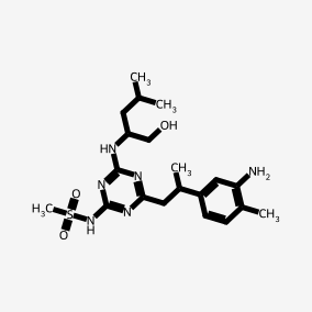 Cc1ccc(C(C)Cc2nc(NC(CO)CC(C)C)nc(NS(C)(=O)=O)n2)cc1N